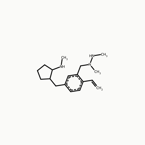 C=Cc1ccc(CC2CCCC2NC)cc1CN(C)NC